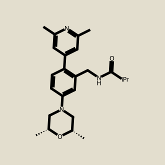 Cc1cc(-c2ccc(N3C[C@@H](C)O[C@@H](C)C3)cc2CNC(=O)C(C)C)cc(C)n1